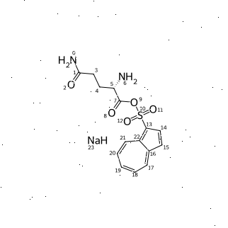 NC(=O)CC[C@H](N)C(=O)OS(=O)(=O)c1ccc2cccccc1-2.[NaH]